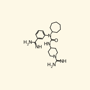 N=C(N)c1cccc(N(C(=O)NC2CCN(C(=N)N)CC2)C2CCCCCC2)c1